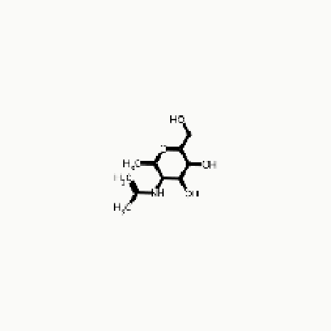 C=C(C)NC1C(C)OC(CO)C(O)C1O